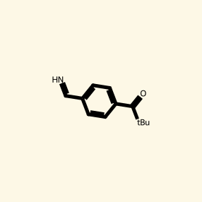 CC(C)(C)C(=O)c1ccc(C=N)cc1